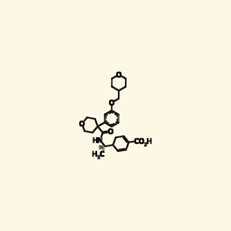 C[C@H](NC(=O)C1(c2cccc(OCC3CCOCC3)c2)CCOCC1)C1C=CC(C(=O)O)=CC1